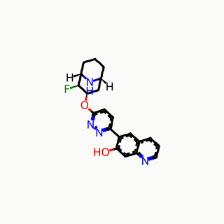 Oc1cc2ncccc2cc1-c1ccc(O[C@@H]2C[C@H]3CCC[C@H](N3)[C@@H]2F)nn1